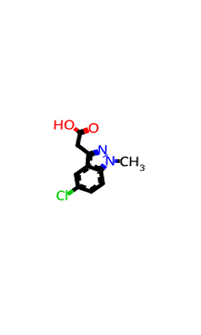 Cn1nc(CC(=O)O)c2cc(Cl)ccc21